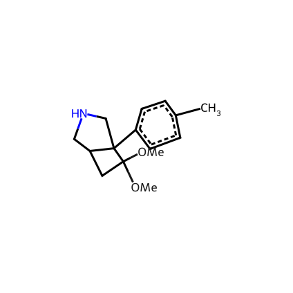 COC1(OC)CC2CNCC21c1ccc(C)cc1